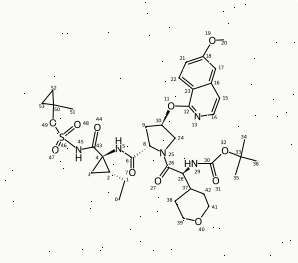 CC[C@@H]1C[C@]1(NC(=O)[C@@H]1C[C@@H](Oc2nccc3cc(OC)ccc23)CN1C(=O)[C@@H](NC(=O)OC(C)(C)C)C1CCOCC1)C(=O)NS(=O)(=O)OC1(C)CC1